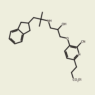 CCOC(=O)CCc1ccc(OCC(O)CNC(C)(C)CC2Cc3ccccc3C2)c(C#N)n1